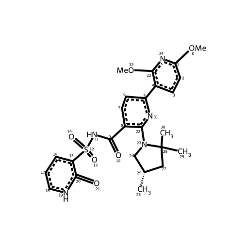 COc1ccc(-c2ccc(C(=O)NS(=O)(=O)c3ccc[nH]c3=O)c(N3C[C@@H](C)CC3(C)C)n2)c(OC)n1